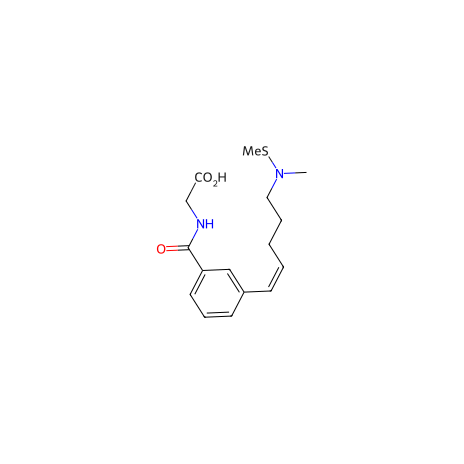 CSN(C)CCC/C=C\c1cccc(C(=O)NCC(=O)O)c1